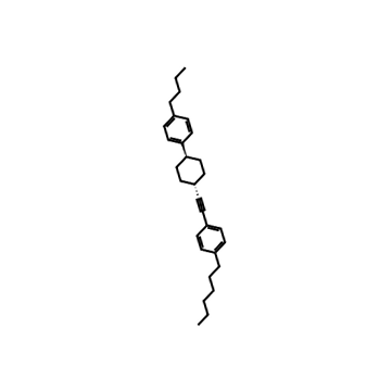 CCCCCCc1ccc(C#C[C@H]2CC[C@H](c3ccc(CCCC)cc3)CC2)cc1